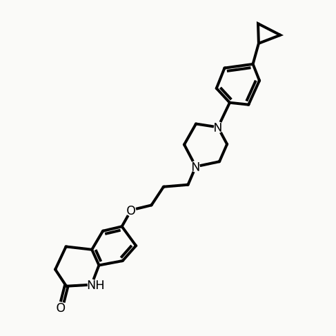 O=C1CCc2cc(OCCCN3CCN(c4ccc(C5CC5)cc4)CC3)ccc2N1